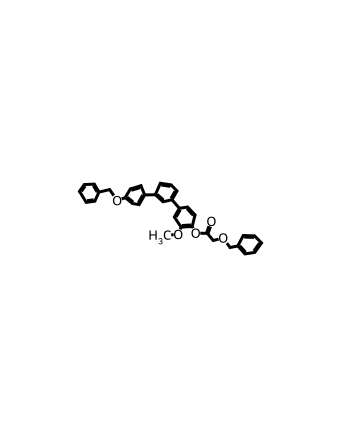 COc1cc(-c2cccc(-c3ccc(OCc4ccccc4)cc3)c2)ccc1OC(=O)COCc1ccccc1